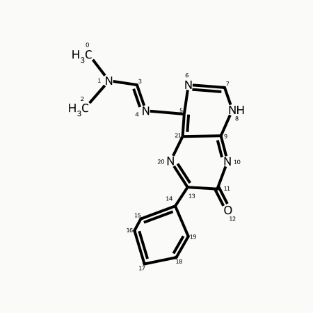 CN(C)C=Nc1nc[nH]c2nc(=O)c(-c3ccccc3)nc1-2